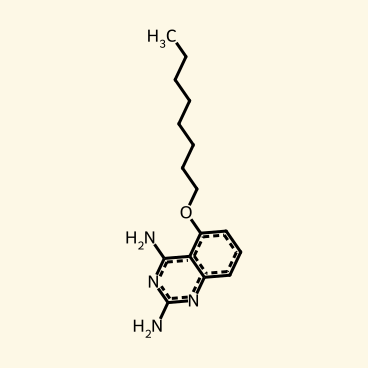 CCCCCCCCOc1cccc2nc(N)nc(N)c12